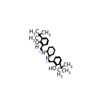 CC(C)(C)c1cccc(/C=N\[C@@H]2CCCC[C@H]2/N=C\c2cccc(C(C)(C)C)c2O)c1O